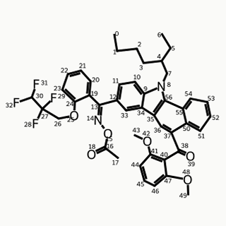 CCCCC(CC)Cn1c2ccc(/C(=N\OC(C)=O)c3ccccc3OCC(F)(F)C(F)F)cc2c2cc(C(=O)c3c(OC)cccc3OC)c3ccccc3c21